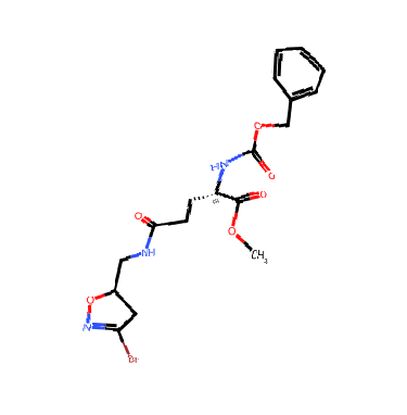 COC(=O)[C@H](CCC(=O)NCC1CC(Br)=NO1)NC(=O)OCc1ccccc1